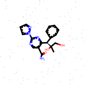 CC(O)(CO)[C@H](c1ccccc1)c1nc(-n2cccn2)ncc1C(N)=O